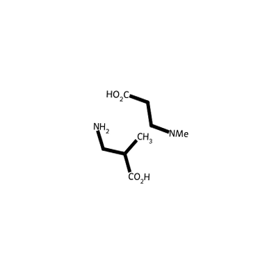 CC(CN)C(=O)O.CNCCC(=O)O